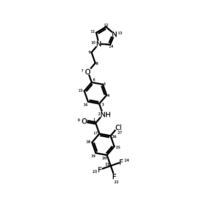 O=C(Nc1ccc(OCCn2ccnc2)cc1)c1ccc(C(F)(F)F)cc1Cl